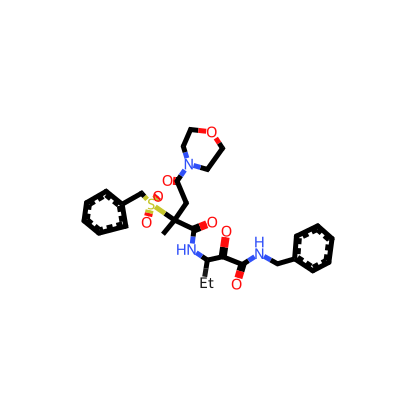 CCC(NC(=O)C(C)(CC(=O)N1CCOCC1)S(=O)(=O)Cc1ccccc1)C(=O)C(=O)NCc1ccccc1